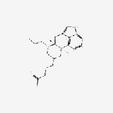 CCCN1CC(CSCC(=O)O)C[C@@H]2c3cccc4[nH]cc(c34)C[C@H]21